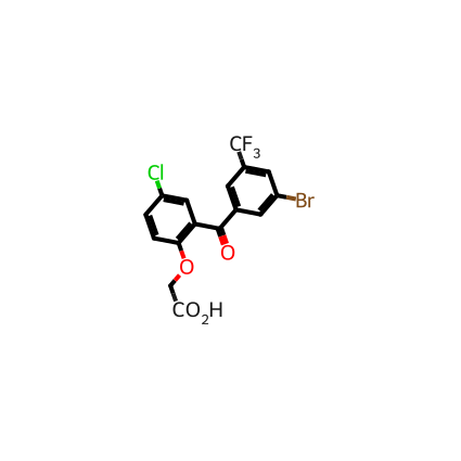 O=C(O)COc1ccc(Cl)cc1C(=O)c1cc(Br)cc(C(F)(F)F)c1